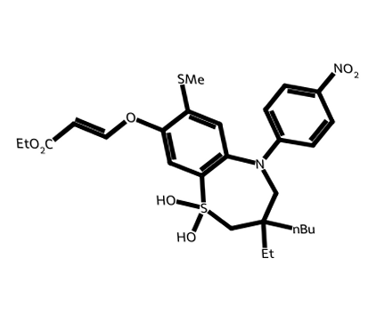 CCCCC1(CC)CN(c2ccc([N+](=O)[O-])cc2)c2cc(SC)c(O/C=C/C(=O)OCC)cc2S(O)(O)C1